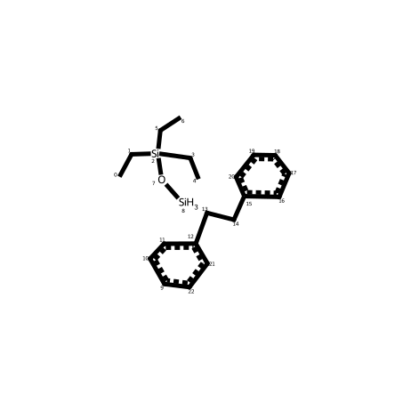 CC[Si](CC)(CC)O[SiH3].c1ccc(CCc2ccccc2)cc1